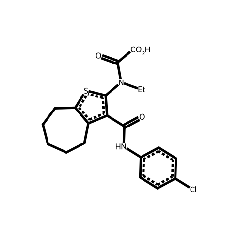 CCN(C(=O)C(=O)O)c1sc2c(c1C(=O)Nc1ccc(Cl)cc1)CCCCC2